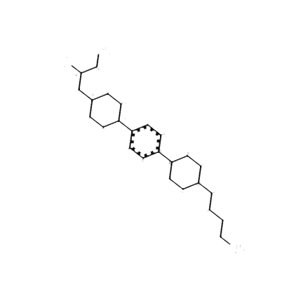 CCCCCC1CCC(c2ccc(C3CCC(CC(C)CC)CC3)cc2)CC1